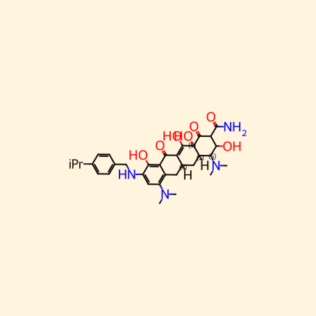 CC(C)c1ccc(CNc2cc(N(C)C)c3c(c2O)C(=O)C2=C(O)[C@]4(O)C(=O)C(C(N)=O)C(O)[C@@H](N(C)C)[C@@H]4C[C@@H]2C3)cc1